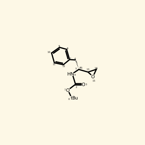 CC(C)(C)OC(=O)N[C@H](Cc1ccccc1)C1CO1